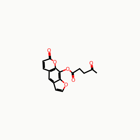 CC(=O)CCC(=O)Oc1c2occc2cc2ccc(=O)oc12